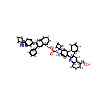 CC(C)(C)N(C(=O)ON=C1CCCc2nc(-c3ccc(C4(N)CCC4)cc3)c(-c3ccccc3)cc21)C1(c2ccc(-c3nc4c(cc3-c3ccccc3)C(=NO)CCC4)cc2)CCC1